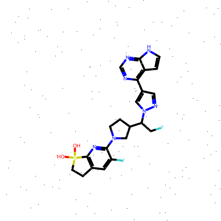 OS1(O)CCc2cc(F)c(N3CCC(C(CF)n4cc(-c5ncnc6[nH]ccc56)cn4)C3)nc21